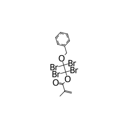 C=C(C)C(=O)OC(Br)(Br)C(Br)(Br)OCc1ccccc1